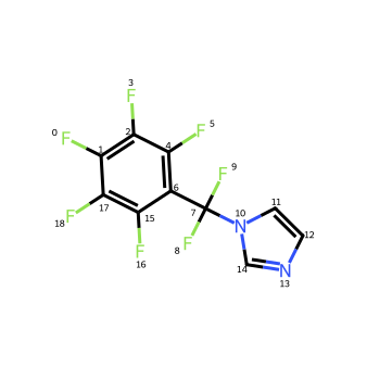 Fc1c(F)c(F)c(C(F)(F)n2ccnc2)c(F)c1F